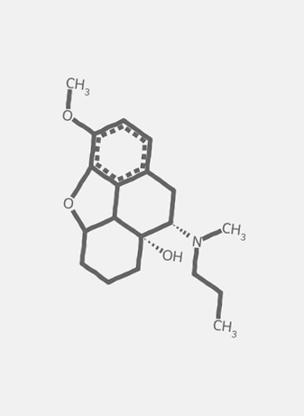 CCCN(C)[C@H]1Cc2ccc(OC)c3c2C2C(CCC[C@@]21O)O3